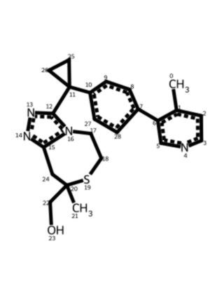 Cc1ccncc1-c1ccc(C2(c3nnc4n3CCSC(C)(CO)C4)CC2)cc1